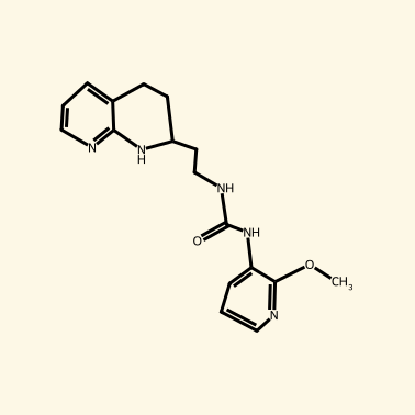 COc1ncccc1NC(=O)NCCC1CCc2cccnc2N1